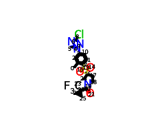 Cc1cc(-n2cnc(Cl)n2)ccc1S(=O)(=O)C1CCN(C(=O)C2(C(F)(F)F)CC2)C1